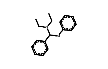 CCN(CC)C(Nc1ccccc1)c1ccccc1